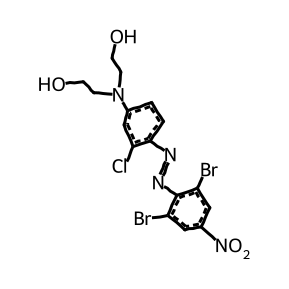 O=[N+]([O-])c1cc(Br)c(N=Nc2ccc(N(CCO)CCO)cc2Cl)c(Br)c1